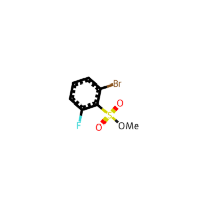 COS(=O)(=O)c1c(F)cccc1Br